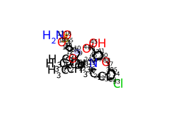 CC(C)(C)[Si](C)(C)OC(/C=C\[C@@H]1CC[C@H]1CS(N)(=O)=O)[C@@H]1CC[C@H]1CN1CCCCc2cc(Cl)ccc2COc2ccc(C(=O)O)cc21